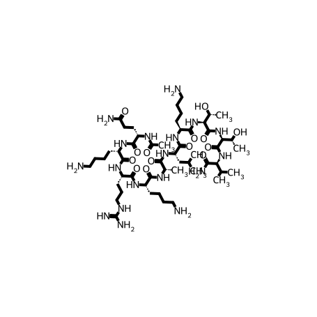 CC(=O)N[C@@H](CCC(N)=O)C(=O)N[C@@H](CCCCN)C(=O)N[C@@H](CCCNC(=N)N)C(=O)N[C@@H](CCCCN)C(=O)N[C@@H](C)C(=O)N[C@@H](CC(C)C)C(=O)N[C@@H](CCCCN)C(=O)N[C@H](C(=O)N[C@H](C(=O)N[C@H](C(N)=O)C(C)C)[C@@H](C)O)[C@@H](C)O